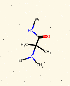 CCN(C)C(C)(C)C(=O)NC(C)C